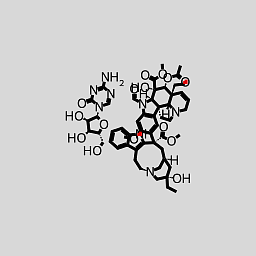 CC[C@]1(O)C[C@H]2C[N@](CCc3c([nH]c4ccccc34)[C@@](C(=O)OC)(c3cc4c(cc3OC)N(C=O)[C@H]3[C@@](O)(C(=O)OC)[C@H](OC(C)=O)[C@]5(CC)C=CCN6CC[C@]43[C@@H]65)C2)C1.Nc1ncn([C@@H]2O[C@H](CO)[C@@H](O)[C@H]2O)c(=O)n1